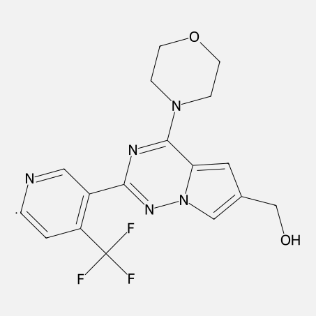 OCc1cc2c(N3CCOCC3)nc(-c3cn[c]cc3C(F)(F)F)nn2c1